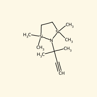 C#CC(C)(C)N1[Si](C)(C)CC[Si]1(C)C